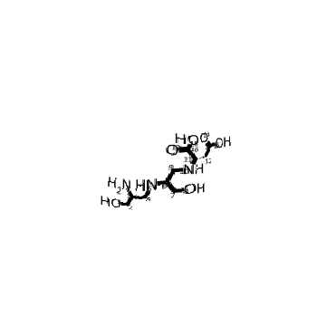 NC(CO)CNC(CO)CN[C@@H](CC(=O)O)C(=O)O